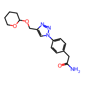 NC(=O)Cc1ccc(-n2cc(COC3CCCCO3)nn2)cc1